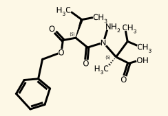 CC(C)[C@H](C(=O)OCc1ccccc1)C(=O)N(N)[C@](C)(C(=O)O)C(C)C